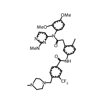 CNc1nccc(N(C(=O)Cc2cc(NC(=O)c3ccc(CN4CCN(C)CC4)c(C(F)(F)F)c3)ccc2C)c2ccc(OC)cc2OC)n1